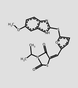 COc1ccc2nc(Sc3ccc(C=C4SC(=O)N(C(C)C)C4=O)o3)[nH]c2c1